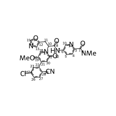 CNC(=O)c1ccc(NC(=O)C(Cc2cnco2)n2cc(OC)c(-c3cc(Cl)ccc3C#N)cc2=O)cn1